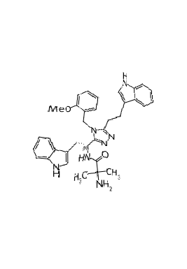 COc1ccccc1Cn1c(CCc2c[nH]c3ccccc23)nnc1[C@@H](Cc1c[nH]c2ccccc12)NC(=O)C(C)(C)N